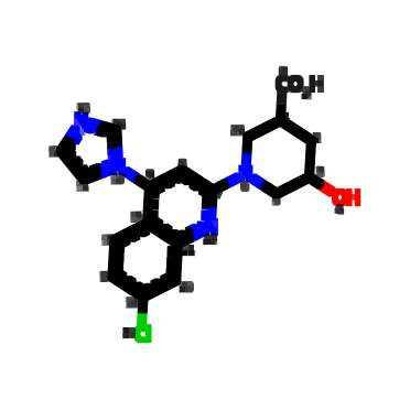 O=C(O)C1CC(O)CN(c2cc(-n3ccnc3)c3ccc(Cl)cc3n2)C1